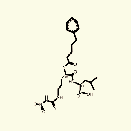 CC(C)C[C@H](NC(=O)[C@H](CCCNC(=N)N[N+](=O)[O-])NC(=O)CCCCc1ccccc1)B(O)O